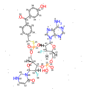 Nc1ncnc2c1ncn2C1O[C@@H]2COP(=O)(O)O[C@@H]3[C@@H](COP(=O)(SCc4ccc(C(=O)c5ccc(O)cc5)cc4)O[C@@H]1[C@@H]2F)OC(N1CNC=CC1=O)[C@@H]3F